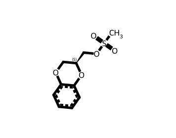 CS(=O)(=O)OC[C@@H]1COc2ccccc2O1